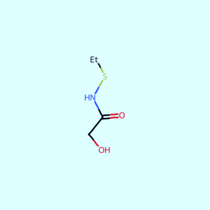 CCSNC(=O)CO